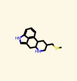 CSCC1CNC2Cc3c[nH]c4cccc(c34)C2C1